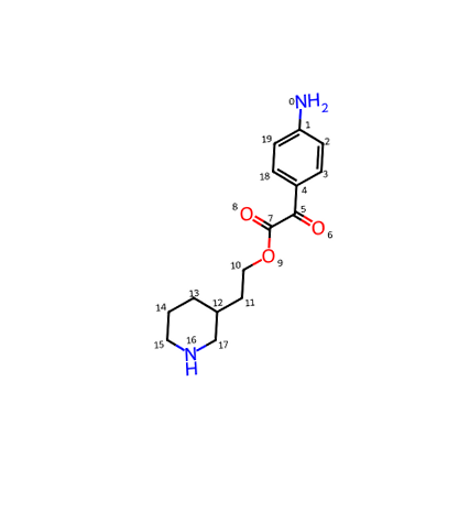 Nc1ccc(C(=O)C(=O)OCCC2CCCNC2)cc1